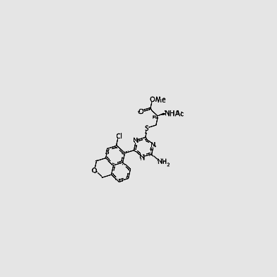 COC(=O)[C@H](CSc1nc(N)nc(-c2c(Cl)cc3c4c(cccc24)COC3)n1)NC(C)=O